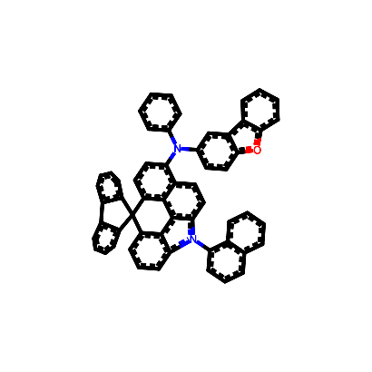 c1ccc(N(c2ccc3oc4ccccc4c3c2)c2ccc3c4c2ccc2c4c4c(cccc4n2-c2cccc4ccccc24)C32c3ccccc3-c3ccccc32)cc1